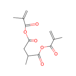 C=C(C)C(=O)OC(=O)CC(C)C(=O)OC(=O)C(=C)C